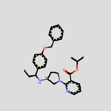 CCC(N[C@H]1CCN(c2ncccc2C(=O)OC(C)C)C1)c1ccc(OCc2ccccc2)cc1